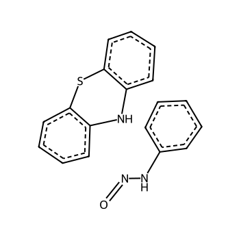 O=NNc1ccccc1.c1ccc2c(c1)Nc1ccccc1S2